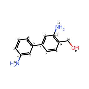 Nc1cccc(-c2ccc(CO)c(N)c2)c1